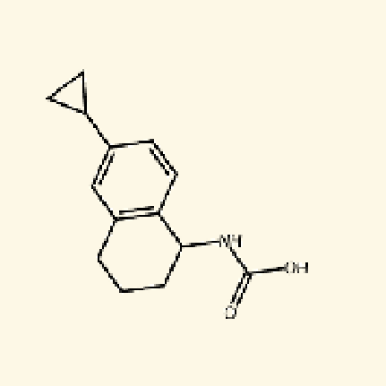 O=C(O)NC1CCCc2cc(C3CC3)ccc21